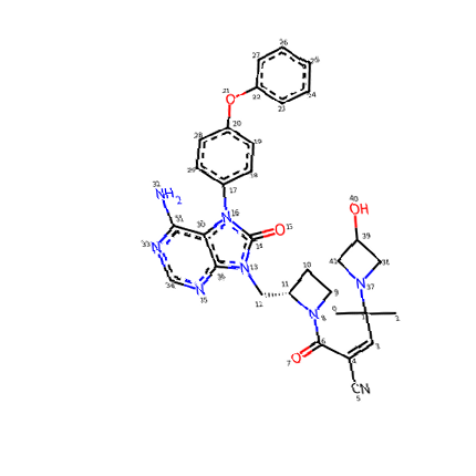 CC(C)(/C=C(/C#N)C(=O)N1CC[C@H]1Cn1c(=O)n(-c2ccc(Oc3ccccc3)cc2)c2c(N)ncnc21)N1CC(O)C1